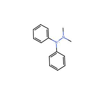 CN(C)[N+](c1ccccc1)c1ccccc1